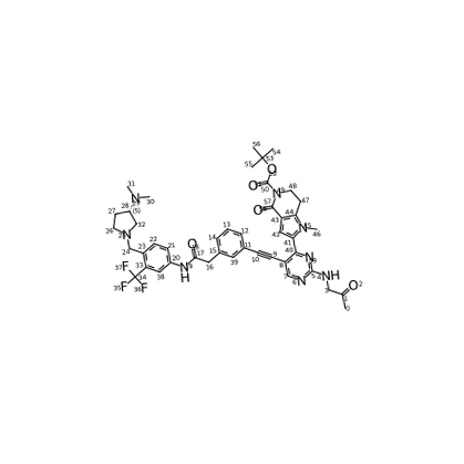 CC(=O)CNc1ncc(C#Cc2cccc(CC(=O)Nc3ccc(CN4CC[C@H](N(C)C)C4)c(C(F)(F)F)c3)c2)c(-c2cc3c(n2C)CCN(C(=O)OC(C)(C)C)C3=O)n1